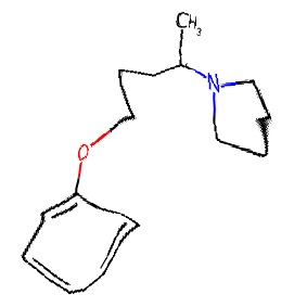 C[C](CCOc1ccccc1)N1CCCC1